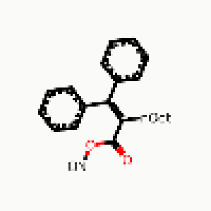 CCCCCCCCC(C(=O)ON=O)=C(c1ccccc1)c1ccccc1